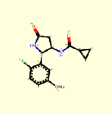 COc1ccc(F)c([C@H]2NC(=O)CC2NC(=O)C2CC2)c1